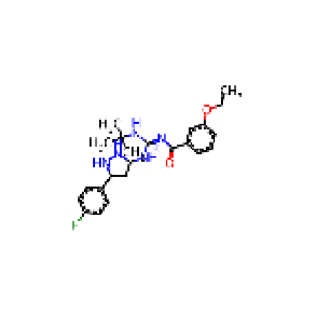 CCOc1cccc(C(=O)/N=C(\NC2CC(c3ccc(F)cc3)NN2)NC(C)(C)C)c1